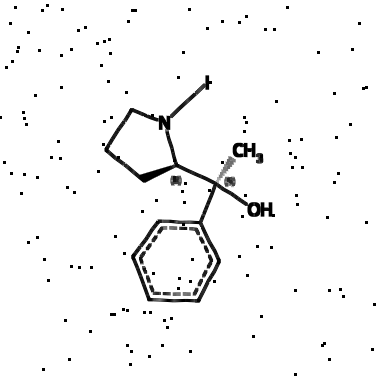 C[C@](O)(c1ccccc1)[C@H]1CCCN1I